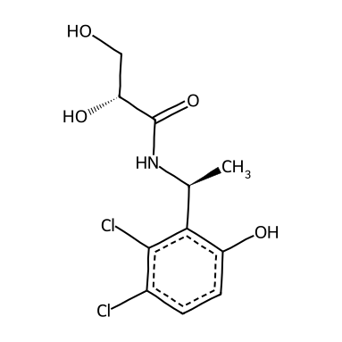 C[C@H](NC(=O)[C@H](O)CO)c1c(O)ccc(Cl)c1Cl